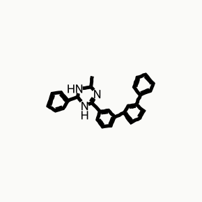 CC1N=C(c2cccc(-c3cccc(-c4ccccc4)c3)c2)NC(c2ccccc2)N1